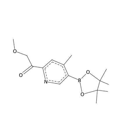 COCC(=O)c1cc(C)c(B2OC(C)(C)C(C)(C)O2)cn1